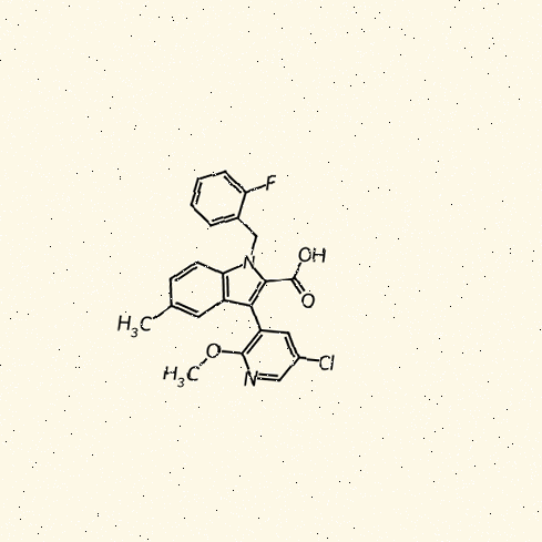 COc1ncc(Cl)cc1-c1c(C(=O)O)n(Cc2ccccc2F)c2ccc(C)cc12